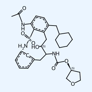 CC(=O)Nc1ccc(CC2CCCCC2)c(C[C@H](O)C(Cc2ccccc2)NC(=O)O[C@H]2CCOC2)c1S(N)(=O)=O